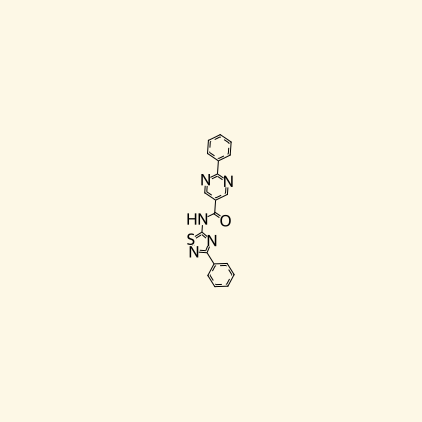 O=C(Nc1nc(-c2ccccc2)ns1)c1cnc(-c2ccccc2)nc1